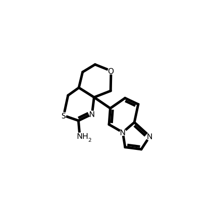 NC1=NC2(c3ccc4nccn4c3)COCCC2CS1